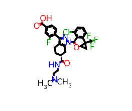 CN(C)CCNC(=O)[C@H]1CCc2c(-c3ccc(C(=O)O)cc3F)nn(C(=O)c3c(Cl)cccc3C3(C(F)(F)F)CC3)c2C1